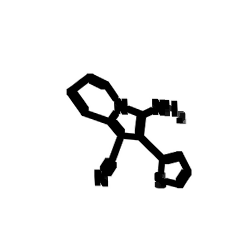 N#Cc1c(-c2cccs2)c(N)n2ccccc12